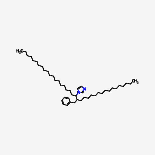 CCCCCCCCCCCCCCCCCCCC(C(CCCCCCCCCCCCCCCC)Cc1ccccc1)n1ccnc1